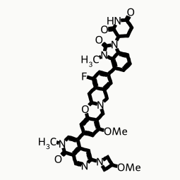 COc1cc(-c2cn(C)c(=O)c3cnc(N4CC(OC)C4)cc23)cc2c1CN1Cc3cc(-c4cccc5c4n(C)c(=O)n5C4CCC(=O)NC4=O)cc(F)c3CC1O2